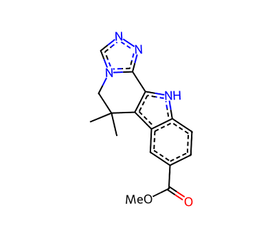 COC(=O)c1ccc2[nH]c3c(c2c1)C(C)(C)Cn1cnnc1-3